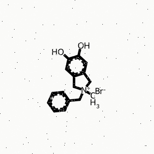 C[N+]1(Cc2ccccc2)Cc2cc(O)c(O)cc2C1.[Br-]